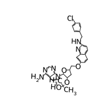 CC(C)(O)OC1CC(COc2ccc3ccc(NCc4ccc(Cl)cc4)nc3c2)OC1n1ccc2c(N)ncnc21